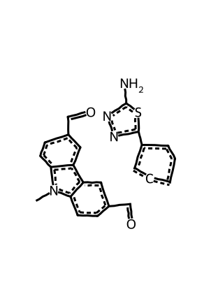 Cn1c2ccc(C=O)cc2c2cc(C=O)ccc21.Nc1nnc(-c2ccccc2)s1